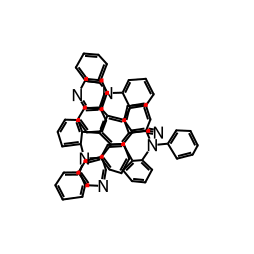 N#Cc1c(-c2ccccc2N(c2ccccc2)c2ccccc2)c(-c2cccnc2)c(-c2ccccc2N(c2ccccc2)c2ccccc2)c(-c2cccnc2)c1-c1ccccc1N(c1ccccc1)c1ccccc1